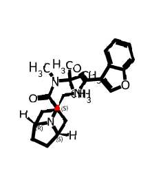 CN(C(=O)CN1[C@@H]2CC[C@H]1C[C@H](CNC(=O)c1coc3ccccc13)C2)C(C)(C)C